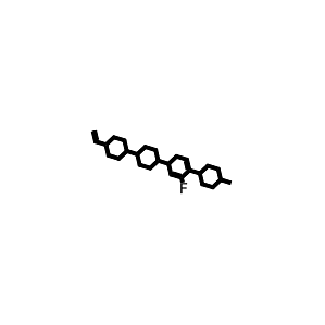 C=CC1CCC(C2CCC(C3C=C(F)C(C4CCC(C)CC4)=CC3)CC2)CC1